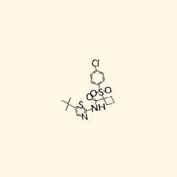 CC(C)(C)c1cnc(NC(=O)C2(S(=O)(=O)c3ccc(Cl)cc3)CCC2)s1